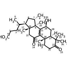 CC(CCC(=O)O)[C@H]1C[C@H](C)[C@@]2(C)C3=C(C(=O)C[C@]12C)[C@@]1(C)CCC(=O)C(C)(C)[C@@H]1C[C@@H]3O